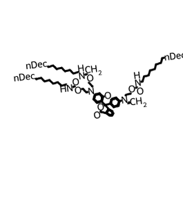 C=CN(CCOC(=O)NCCCCCCCCCCCCCCCCCC)c1ccc2c(c1)Oc1cc(N(CCOC(=C)NCCCCCCCCCCCCCCCCCC)CCOC(=O)NCCCCCCCCCCCCCCCCCC)ccc1C21OC(=O)c2ccccc21